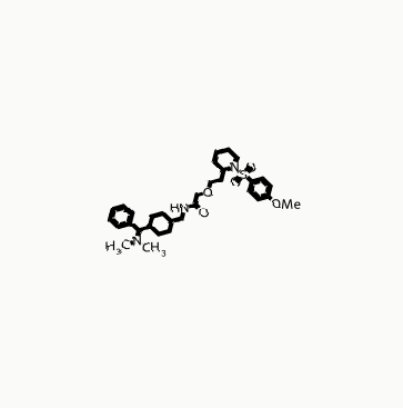 COc1ccc(S(=O)(=O)N2CCCCC2CCOCC(=O)NCC2CCC(C(c3ccccc3)N(C)C)CC2)cc1